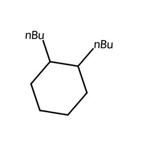 CCCCC1CCCCC1CCCC